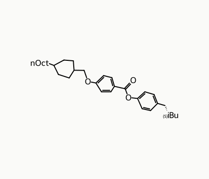 CCCCCCCCC1CCC(COc2ccc(C(=O)Oc3ccc(C[C@@H](C)CC)cc3)cc2)CC1